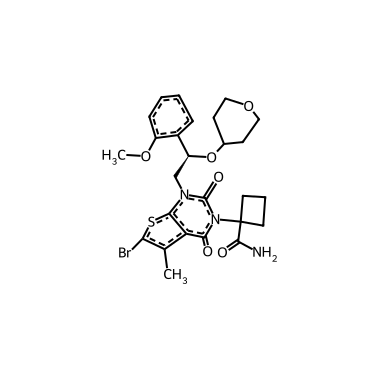 COc1ccccc1[C@H](Cn1c(=O)n(C2(C(N)=O)CCC2)c(=O)c2c(C)c(Br)sc21)OC1CCOCC1